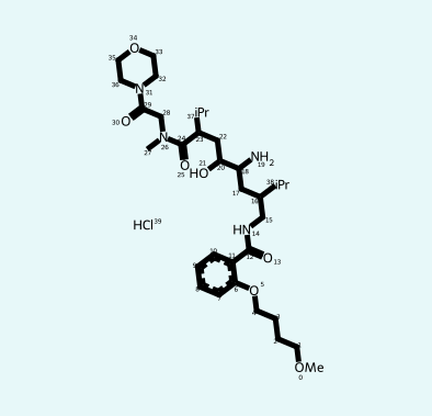 COCCCCOc1ccccc1C(=O)NCC(CC(N)C(O)CC(C(=O)N(C)CC(=O)N1CCOCC1)C(C)C)C(C)C.Cl